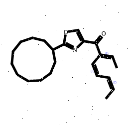 C\C=C/C=C\C(=C/C)C(=O)c1coc(C2CCCCCCCCCC2)n1